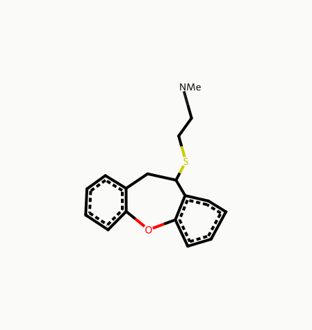 CNCCSC1Cc2ccccc2Oc2ccccc21